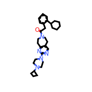 O=C(Cc1ccccc1C1CCCCC1)N1CCc2cnc(N3CCN(C4CCC4)CC3)nc2CC1